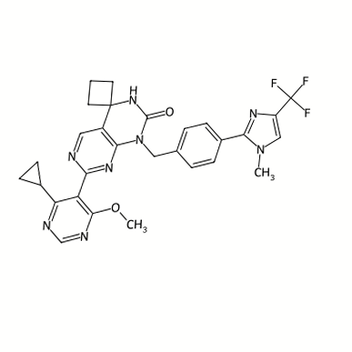 COc1ncnc(C2CC2)c1-c1ncc2c(n1)N(Cc1ccc(-c3nc(C(F)(F)F)cn3C)cc1)C(=O)NC21CCC1